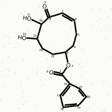 O=C(OC1CCC=CC(=O)C(O)C(O)CC1)c1ccccc1